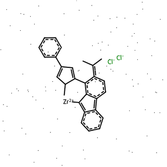 CC(C)=c1ccc2c(c1C1=CC(c3ccccc3)=CC1C)[C]([Zr+2])=c1ccccc1=2.[Cl-].[Cl-]